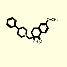 COc1ccc2c(c1)CCC(C)(CN1CCC(c3ccccc3)CC1)C2=O